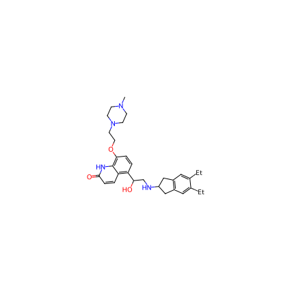 CCc1cc2c(cc1CC)CC(NCC(O)c1ccc(OCCN3CCN(C)CC3)c3[nH]c(=O)ccc13)C2